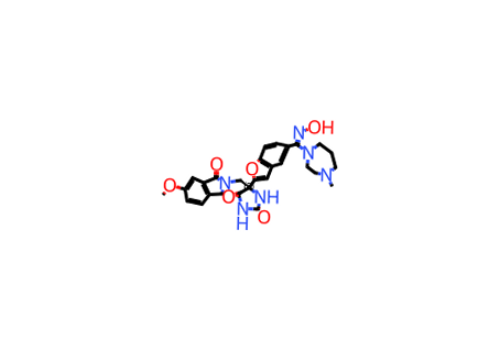 COc1ccc2c(c1)C(=O)N(C[C@@]1(c3cc4cc(C(=NO)N5CCCN(C)CC5)ccc4o3)NC(=O)NC1=O)C2